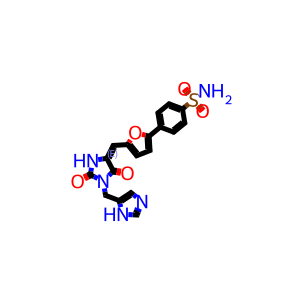 NS(=O)(=O)c1ccc(-c2ccc(/C=C3/NC(=O)N(Cc4cnc[nH]4)C3=O)o2)cc1